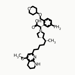 COc1cc(CCCC[C@@H](C)[C@@H]2CCN([C@H](C(=O)O)c3cc(P)ccc3COC3CCOCC3)C2)nc2c1CCCN2